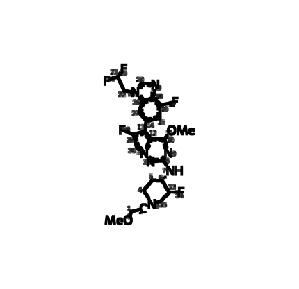 COCCN1CC[C@H](Nc2nc(OC)c3c(-c4cc(F)c5ncn(CC(F)F)c5c4)c(F)cn3n2)[C@@H](F)C1